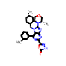 Cc1cccc(-c2nc(-c3n[nH]c(=O)o3)nc3nc(N4CCOC[C@@H]4C)n(C[C@H]4CC[C@H](C)CC4)c23)c1